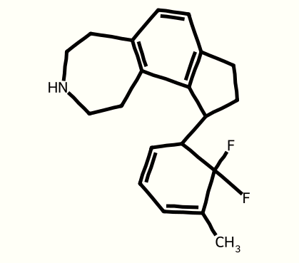 CC1=CC=CC(C2CCc3ccc4c(c32)CCNCC4)C1(F)F